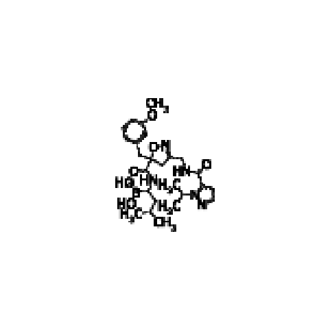 COc1cccc(CC2(C(=O)NC(CC(C)C)B(O)O)CC(CNC(=O)c3ccnn3C(C)C)=NO2)c1